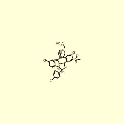 CCOc1cc(Cl)c(S(C)(=O)=O)cc1C1=N[C@@](C)(c2ccc(Cl)cc2)[C@@](C)(c2ccc(Cl)cc2)N1C(=O)N1CCN(CC(=O)O)CC1